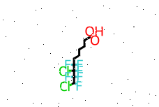 O=C(O)CCCCCC(F)(F)C(F)(Cl)C(F)(F)C(F)Cl